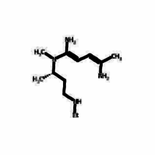 CCNCC[C@H](C)N(C)/C(N)=C/C=C(/C)N